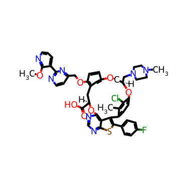 COc1ncccc1-c1nccc(COc2ccc3cc2C[C@H](C(=O)O)Oc2ncnc4sc(-c5ccc(F)cc5)c(c24)-c2ccc(c(Cl)c2C)O[C@H](CN2CCN(C)CC2)CO3)n1